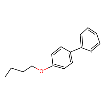 CCCCOc1ccc(-c2[c]cccc2)cc1